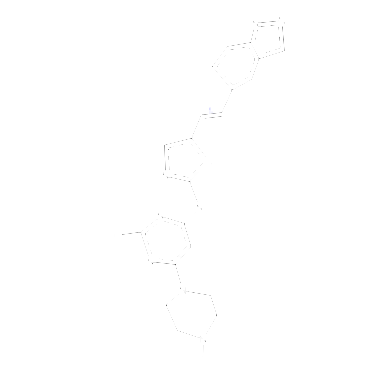 Cc1nc(Nc2ncc(/C=C/c3ccc4[nH]ncc4c3)s2)cc(N2CCN(C)CC2)n1